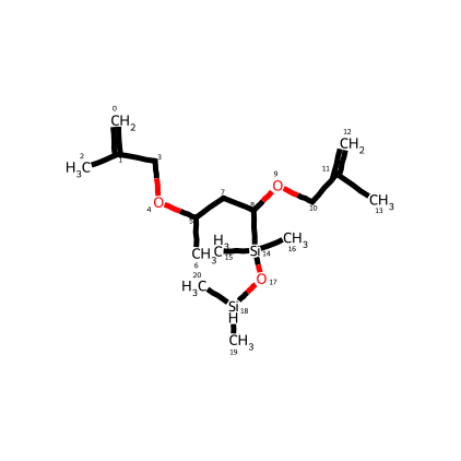 C=C(C)COC(C)CC(OCC(=C)C)[Si](C)(C)O[SiH](C)C